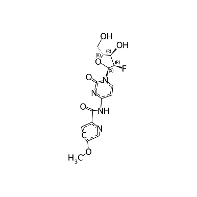 COc1ccc(C(=O)Nc2ccn([C@H]3O[C@H](CO)[C@@H](O)[C@H]3F)c(=O)n2)nc1